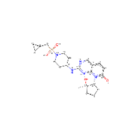 C[C@@]1(O)CCC[C@H]1n1c(=O)ccc2cnc(NC3CCN(S(=O)(=O)CC4CC4)CC3)nc21